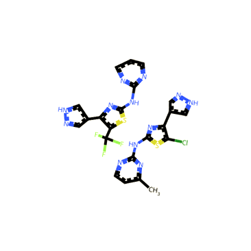 Cc1ccnc(Nc2nc(-c3cn[nH]c3)c(Cl)s2)n1.FC(F)(F)c1sc(Nc2ncccn2)nc1-c1cn[nH]c1